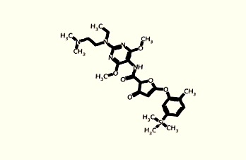 CCN(CCN(C)C)c1nc(OC)c(NC(=O)C2OC(Oc3cc([Si](C)(C)C)ccc3C)=CC2=O)c(OC)n1